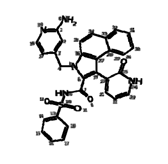 Nc1cc(Cn2c(C(=O)NS(=O)(=O)c3ccccc3)c(-c3ccc[nH]c3=O)c3c4ccccc4ccc32)ccn1